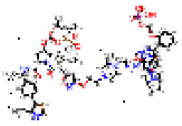 Cc1ncsc1-c1ccc([C@H](C)NC(=O)[C@@H]2C[C@@H](OC(=O)OC(C)C(C)SS(C)(=O)=O)CN2C(=O)[C@@H](c2cc(OCCN3CCN(CCOc4cc(N5C6CCC5CN(c5cc(-c7ccccc7OCOP(=O)(O)O)nnc5N)C6)ccn4)[C@H](C)C3)no2)C(C)C)cc1